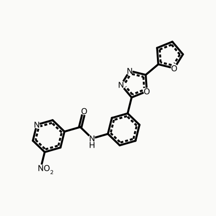 O=C(Nc1cccc(-c2nnc(-c3ccco3)o2)c1)c1cncc([N+](=O)[O-])c1